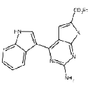 CCOC(=O)c1cc2c(-c3c[nH]c4ccccc34)nc(N)nc2s1